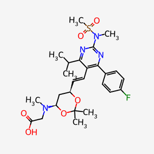 CC(C)c1nc(N(C)S(C)(=O)=O)nc(-c2ccc(F)cc2)c1C=C[C@@H]1C[C@H](N(C)CC(=O)O)OC(C)(C)O1